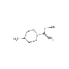 C=C(CC(C)C)C1CCN(C)CC1